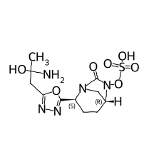 CC(N)(O)Cc1nnc([C@@H]2CC[C@@H]3CN2C(=O)N3OS(=O)(=O)O)o1